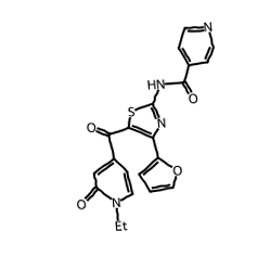 CCn1ccc(C(=O)c2sc(NC(=O)c3ccncc3)nc2-c2ccco2)cc1=O